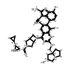 N#Cc1c(N)sc2c(F)ccc(-c3c(Cl)cc4c(N5CC6CN(C(=O)[C@@H]7N[C@H]7C7CC7)CC65)nc(OC[C@@]56CCCN5C[C@H](F)C6)nc4c3F)c12